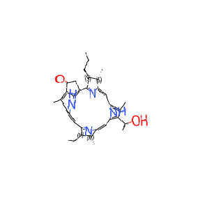 CCC[C@@H]1c2nc(cc3[nH]c(cc4nc(cc5[nH]c6c2CC(=O)c6c5C)[C@H](CC)[C@H]4C)c(C(C)O)c3C)[C@H]1C